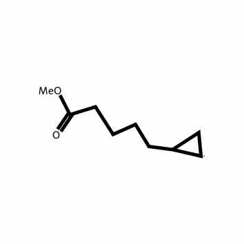 COC(=O)CCCCC1[CH]C1